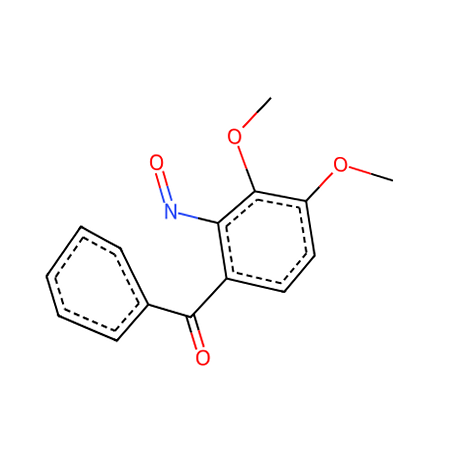 COc1ccc(C(=O)c2ccccc2)c(N=O)c1OC